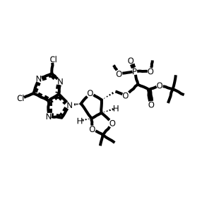 COP(=O)(OC)C(OC[C@H]1O[C@@H](n2cnc3c(Cl)nc(Cl)nc32)[C@@H]2OC(C)(C)O[C@@H]21)C(=O)OC(C)(C)C